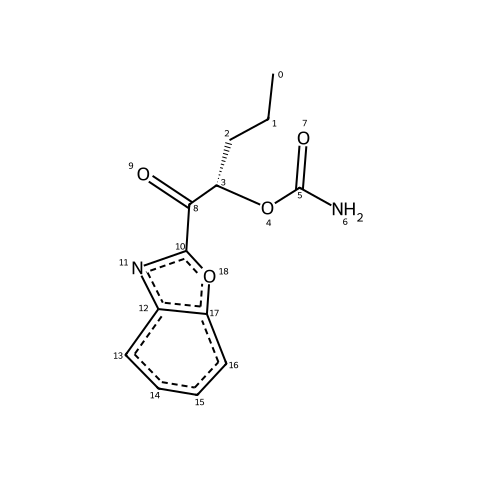 CCC[C@H](OC(N)=O)C(=O)c1nc2ccccc2o1